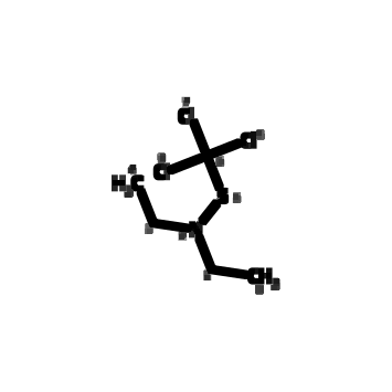 CCN(CC)SC(Cl)(Cl)Cl